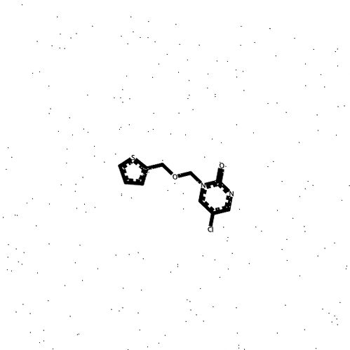 O=c1ncc(Cl)cn1COCc1cccs1